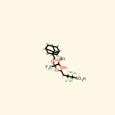 CCOC(O)C(OCCC(F)(F)C(F)(F)S(=O)(=O)O)(OCC12CC3CC(CC(C3)C1)C2)C(F)(F)F